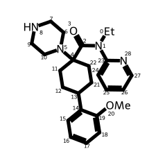 CCN(C(=O)C1(N2CCNCC2)CCC(c2ccccc2OC)CC1)c1ccccn1